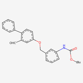 CC(C)(C)OC(=O)Nc1cccc(COc2ccc(-c3ccccc3)c(C=O)c2)c1